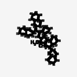 CC1(C)c2cc(-c3ccc4ccccc4n3)c3ccccc3c2-c2c1cc(N(c1ccc3ccccc3c1)c1ccc3ccccc3c1)c1ccccc21